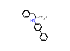 O=C(O)[C@H](Cc1ccccc1)Nc1ccc(-c2ccccc2)cc1